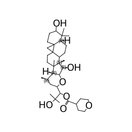 C[C@@H]1CC(C(OC(=O)C2CCOCC2)C(C)(C)O)OC2[C@H]1C1(C)CCC34CC35CCC(O)C(C)(C)[C@@H]5CCC4[C@]1(C)[C@H]2O